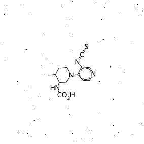 CC1CCN(c2ccncc2N=C=S)CC1NC(=O)O